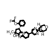 C[C@@]1(O)C[C@H](c2ccccc2OC(F)F)c2c1nc1ccc(-c3cnc(N4[C@@H]5CC[C@H]4COC5)nc3)cn21